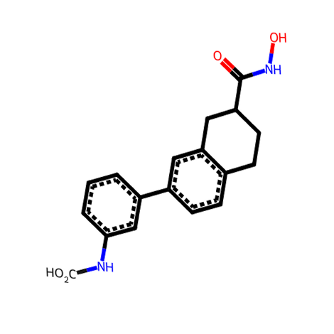 O=C(O)Nc1cccc(-c2ccc3c(c2)CC(C(=O)NO)CC3)c1